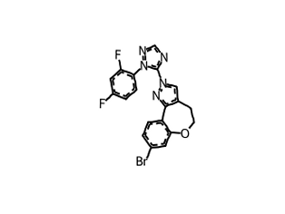 Fc1ccc(-n2ncnc2-n2cc3c(n2)-c2ccc(Br)cc2OCC3)c(F)c1